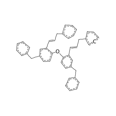 C(=Cc1cc(Cc2ccccc2)ccc1Oc1ccc(Cc2ccccc2)cc1C=CCc1ccccc1)Cc1ccccc1